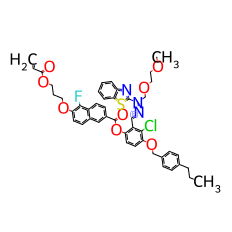 C=CC(=O)OCCCOc1ccc2cc(C(=O)Oc3ccc(OCc4ccc(CCC)cc4)c(Cl)c3/C=N/N(COCCOC)c3nc4ccccc4s3)ccc2c1F